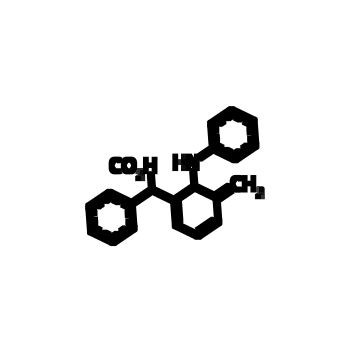 C=C1C=CC=C(C(C(=O)O)c2ccccc2)C1Nc1ccccc1